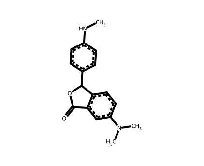 CNc1ccc(C2OC(=O)c3cc(N(C)C)ccc32)cc1